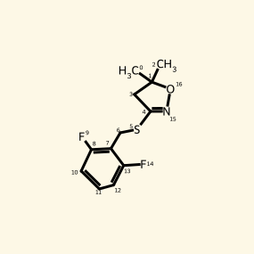 CC1(C)CC(SCc2c(F)cccc2F)=NO1